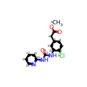 COC(=O)Cc1ccc(Cl)c(NC(=O)Nc2ccccn2)c1